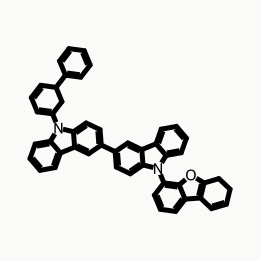 C1=CC(c2ccccc2)CC(n2c3ccccc3c3cc(-c4ccc5c(c4)c4ccccc4n5-c4cccc5c6c(oc45)CCC=C6)ccc32)=C1